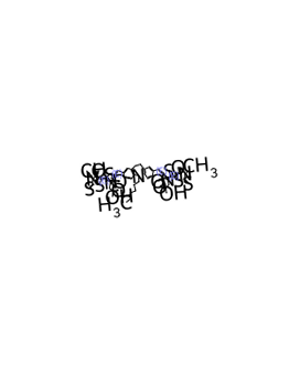 CCCCCCN1c2ccc(/C=c3/s/c(=C4/SC(=S)N(CC)C4=O)n(CC(=O)O)c3=O)cc2CCc2cc(/C=c3/s/c(=C4/SC(=S)N(CC)C4=O)n(CC(=O)O)c3=O)ccc21